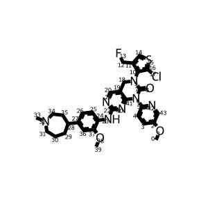 COc1ccc(N2C(=O)N(c3c(CF)csc3Cl)Cc3cnc(Nc4ccc(C5CCCN(C)CC5)cc4OC)nc32)nc1